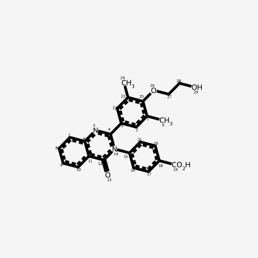 Cc1cc(-c2nc3ccccc3c(=O)n2-c2ccc(C(=O)O)cc2)cc(C)c1OCCO